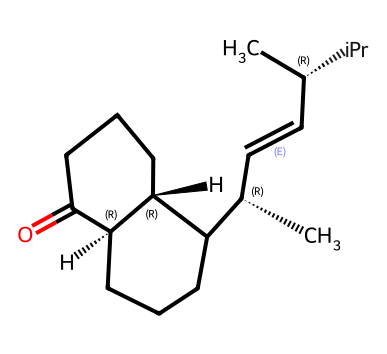 CC(C)[C@@H](C)/C=C/[C@H](C)C1CCC[C@H]2C(=O)CCC[C@H]12